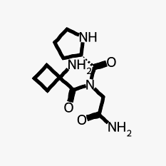 NC(=O)CN(C(=O)[C@@H]1CCCN1)C(=O)C1(N)CCC1